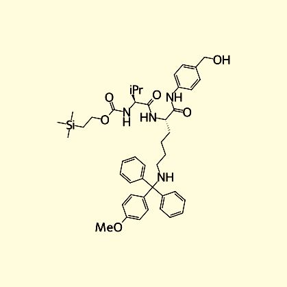 COc1ccc(C(NCCCC[C@H](NC(=O)[C@@H](NC(=O)OCC[Si](C)(C)C)C(C)C)C(=O)Nc2ccc(CO)cc2)(c2ccccc2)c2ccccc2)cc1